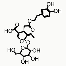 CC=C1[C@H](O[C@@H]2O[C@H](CO)[C@@H](O)[C@H](O)[C@H]2O)OC=C(C(=O)O)[C@H]1CC(=O)OCCc1ccc(O)c(O)c1